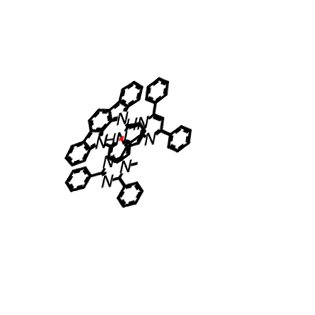 CN1C(C2C=CC=C(n3c4ccccc4c4ccc5c6ccccc6n(-c6cccc(C7N=C(c8ccccc8)C=C(c8ccccc8)N7)n6)c5c43)N2)=NC(c2ccccc2)=NC1c1ccccc1